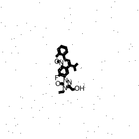 CCn1c(CO)nn(-c2cc3c(C(C)C)cc(-c4ccccc4C)[n+]([O-])c3cc2F)c1=O